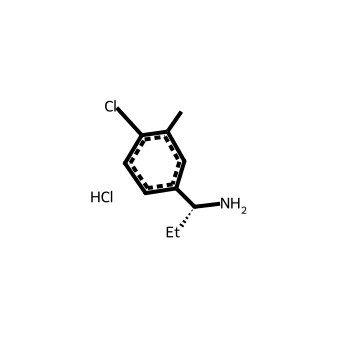 CC[C@@H](N)c1ccc(Cl)c(C)c1.Cl